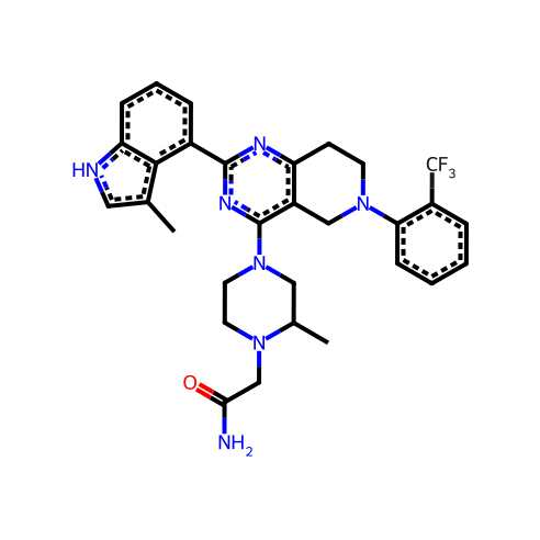 Cc1c[nH]c2cccc(-c3nc4c(c(N5CCN(CC(N)=O)C(C)C5)n3)CN(c3ccccc3C(F)(F)F)CC4)c12